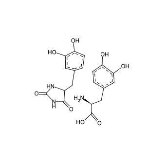 N[C@@H](Cc1ccc(O)c(O)c1)C(=O)O.O=C1NC(=O)C(Cc2ccc(O)c(O)c2)N1